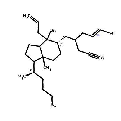 C#CCC(C/C=C/CC)C[C@@H]1CCC2(C)C([C@H](C)CCCC(C)C)CCC2C1(O)CC=C